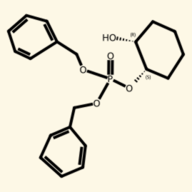 O=P(OCc1ccccc1)(OCc1ccccc1)O[C@H]1CCCC[C@H]1O